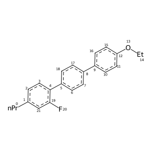 CCCc1ccc(-c2ccc(-c3ccc(OCC)cc3)cc2)c(F)c1